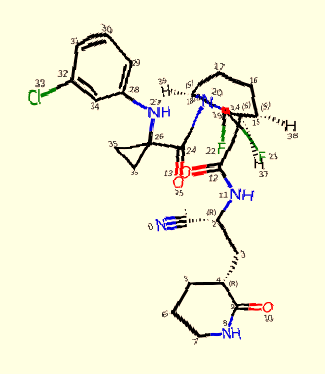 N#C[C@@H](C[C@H]1CCCNC1=O)NC(=O)[C@@H]1[C@@H]2CC[C@@H](CC2(F)F)N1C(=O)C1(Nc2cccc(Cl)c2)CC1